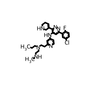 CCCN(CCNC)CCc1cc(Nc2cc(-c3cc(Cl)ccc3F)nnc2C2=CCCNC2)ccn1